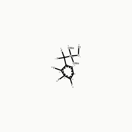 CCO[Si](OC)(OC)C(F)(F)c1ccc(F)c(F)c1F